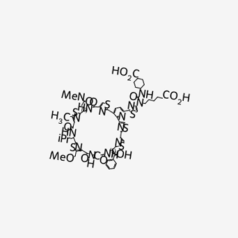 CNC(=O)C[C@@H]1NC(=O)c2csc(n2)-c2ccc(-c3nc(N(CCCCCC(=O)O)C(=O)N[C@H]4CC[C@H](C(=O)O)CC4)cs3)nc2-c2csc(n2)-c2csc(n2)[C@H]([C@@H](O)c2ccccc2)NC(=O)CNC(=O)c2nc(sc2COC)C(C(C)C)NC(=O)c2nc1sc2C